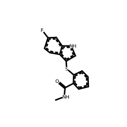 CNC(=O)c1ccccc1Sc1c[nH]c2cc(F)ccc12